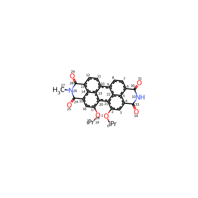 CC(C)Oc1cc2c3c(ccc4c5ccc6c7c(cc(OC(C)C)c(c1c34)c75)C(=O)N(C)C6=O)C(=O)NC2=O